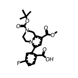 COC(=O)c1cc(-c2cc(F)ccc2C(=O)O)n2c1CN(C(=O)OC(C)(C)C)CC2